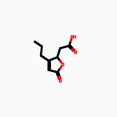 CCCC1=CC(=O)OC1CC(=O)O